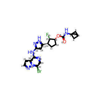 O=C(NC12CC(C1)C2)O[C@H]1CC[C@@H](c2cc(Nc3ncc(Br)n4nccc34)n[nH]2)[C@H]1F